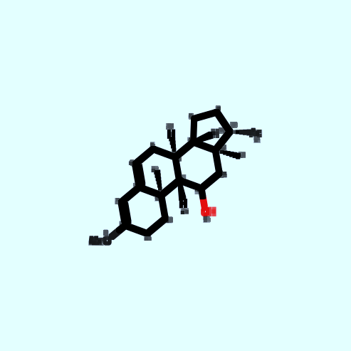 COC1=CC2=CC[C@H]3[C@@H]4CC[C@H](C(C)=O)[C@@]4(C)CC(O)[C@@H]3[C@@]2(C)CC1